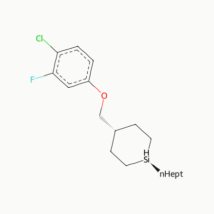 CCCCCCC[Si@H]1CC[C@H](COc2ccc(Cl)c(F)c2)CC1